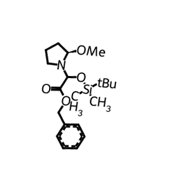 CO[C@@H]1CCCN1C(O[Si](C)(C)C(C)(C)C)C(=O)OCc1ccccc1